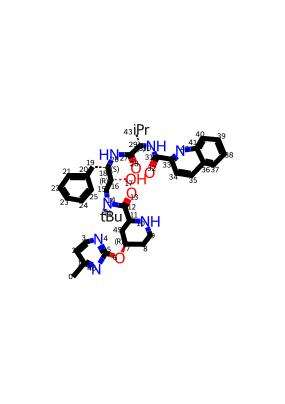 Cc1ccnc(O[C@@H]2CCNC(C(=O)N(C[C@@H](O)[C@H](Cc3ccccc3)NC(=O)[C@@H](NC(=O)c3ccc4ccccc4n3)C(C)C)C(C)(C)C)C2)n1